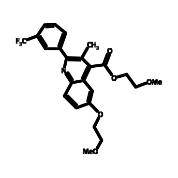 COCCOC(=O)c1c(C)c(-c2cccc(C(F)(F)F)c2)nc2ccc(OCCOC)cc12